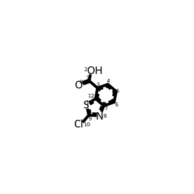 O=C(O)c1cccc2nc(Cl)sc12